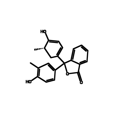 Cc1cc(C2(C3=CC=C(O)[C@@H](C)C3)OC(=O)c3ccccc32)ccc1O